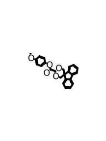 COc1ccc(OC(=O)C2OCC3(CO2)c2ccccc2-c2ccccc23)cc1